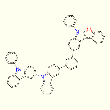 c1ccc(-n2c3ccccc3c3cc(-n4c5ccccc5c5cc(-c6cccc(-c7ccc8c(c7)c7c9ccccc9oc7n8-c7ccccc7)c6)ccc54)ccc32)cc1